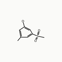 Cc1cc([O])cc(S(C)(=O)=O)c1